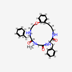 CN1CC(=O)N[C@H](Cc2ccccc2)C(=O)NCCCc2ccccc2OCCN[C@@H](Cc2ccccc2)C1=O